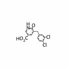 O=C(O)c1c[nH]c(=O)c(Cc2ccc(Cl)c(Cl)c2)c1